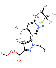 CCOC(=O)c1nn(CC)c(-c2cnc(NC(C)C(F)(F)F)cc2OC)c1Cl